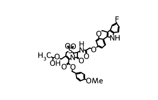 COc1ccc(COC(=O)C2=C(COC(C)O)CS(=O)(=O)C3C(NC(=O)COc4ccc5c(c4)OCc4c-5[nH]c5ccc(F)cc45)C(=O)N23)cc1